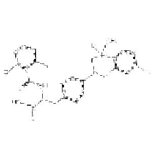 C[N+]1([O-])CN(c2ccc(C[C@H](NC(=O)c3c(Cl)cccc3Cl)C(=O)O)cc2)Cc2cc(O)ccc21